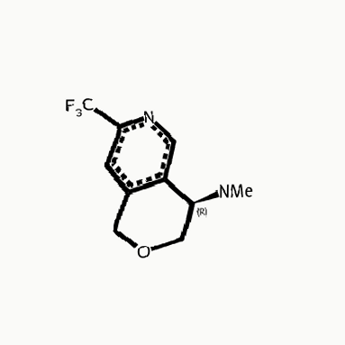 CN[C@H]1COCc2cc(C(F)(F)F)ncc21